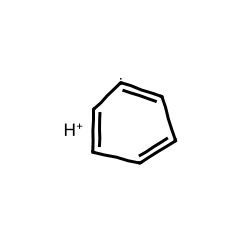 [H+].[c]1ccccc1